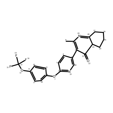 CC1=C(c2ccc(Oc3ccc(OC(F)(F)F)cc3)nc2)C(=O)C2CCCCC2=N1